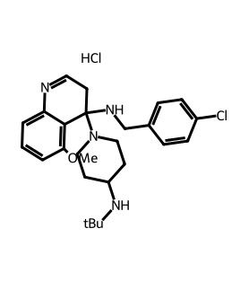 COc1cccc2c1C(NCc1ccc(Cl)cc1)(N1CCC(NC(C)(C)C)CC1)CC=N2.Cl